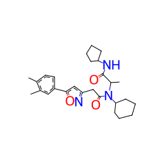 Cc1ccc(-c2cc(CC(=O)N(C3CCCCC3)C(C)C(=O)NC3CCCC3)no2)cc1C